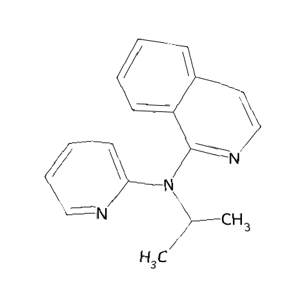 CC(C)N(c1ccccn1)c1nccc2ccccc12